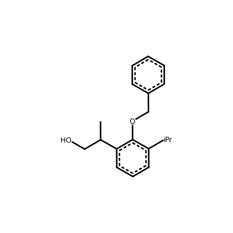 CC(C)c1cccc(C(C)CO)c1OCc1ccccc1